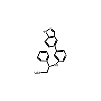 CC(=O)NCC(Nc1cncc(-c2ccc3[nH]ncc3c2)c1)c1ccccc1